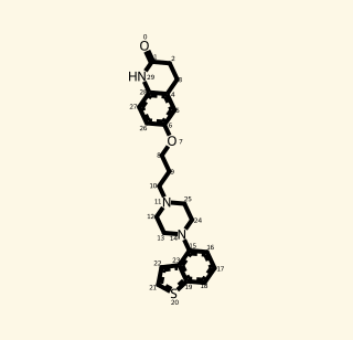 O=C1CCc2cc(OCCCN3CCN(c4cccc5sccc45)CC3)ccc2N1